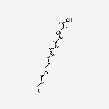 CCCCOCCCSSCCCOCCO